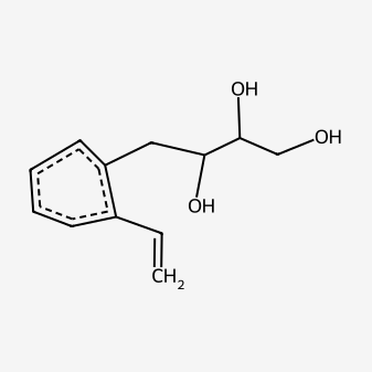 C=Cc1ccccc1CC(O)C(O)CO